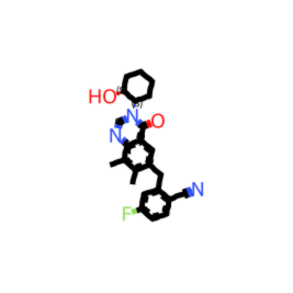 Cc1c(Cc2cc(F)ccc2C#N)cc2c(=O)n([C@H]3CCCC[C@@H]3O)cnc2c1C